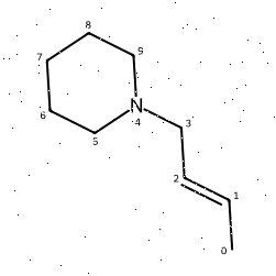 CC=CCN1CCCCC1